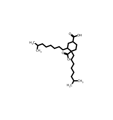 CC(C)CCCCCCC1CC(C(=O)O)CCC1(CCCCCCC(C)C)C(=O)O